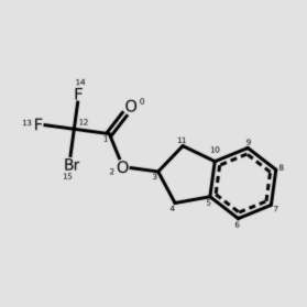 O=C(OC1Cc2ccccc2C1)C(F)(F)Br